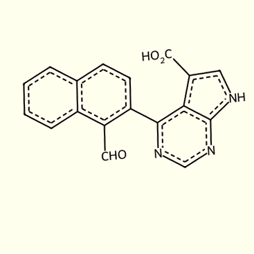 O=Cc1c(-c2ncnc3[nH]cc(C(=O)O)c23)ccc2ccccc12